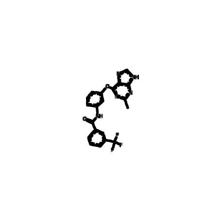 Cc1nc(Oc2cccc(NC(=O)c3cccc(C(F)(F)F)c3)c2)c2nc[nH]c2n1